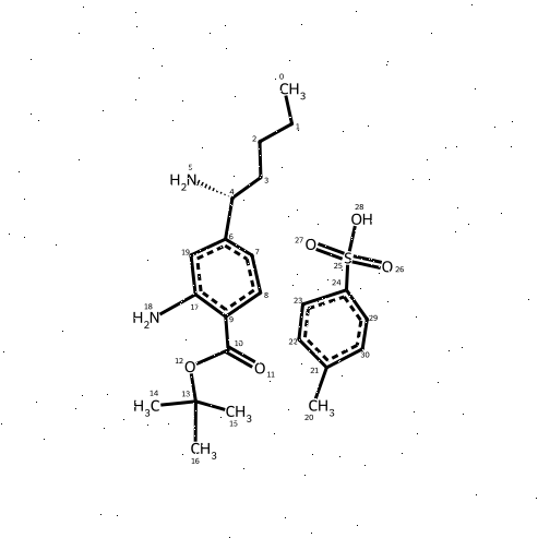 CCCC[C@@H](N)c1ccc(C(=O)OC(C)(C)C)c(N)c1.Cc1ccc(S(=O)(=O)O)cc1